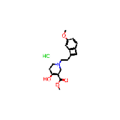 COC(=O)C1=C(O)CCN(CCC2=Cc3ccc(OC)cc32)C1.Cl